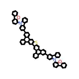 c1ccc2c(c1)oc1c(-n3c4ccccc4c4cc(-c5ccc6c(c5)c5ccccc5c5cc7c(cc65)sc5cc6c8ccc(-c9ccc%10c(c9)c9ccccc9n%10-c9cccc%10c9oc9ccccc9%10)cc8c8ccccc8c6cc57)ccc43)cccc12